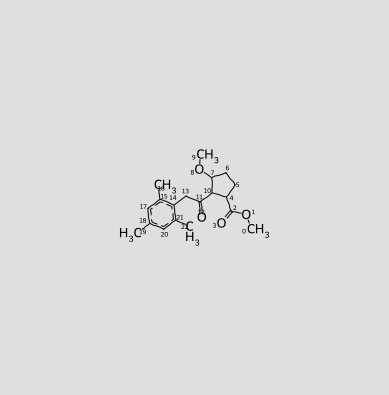 COC(=O)C1CCC(OC)C1C(=O)Cc1c(C)cc(C)cc1C